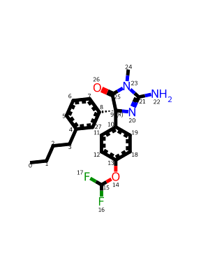 CCCCc1cccc([C@@]2(c3ccc(OC(F)F)cc3)N=C(N)N(C)C2=O)c1